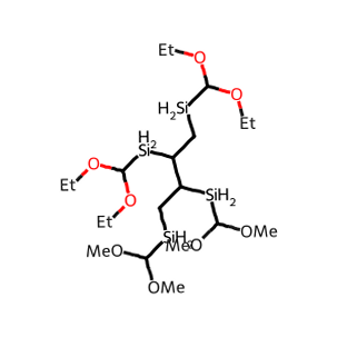 CCOC(OCC)[SiH2]CC([SiH2]C(OCC)OCC)C(C[SiH2]C(OC)OC)[SiH2]C(OC)OC